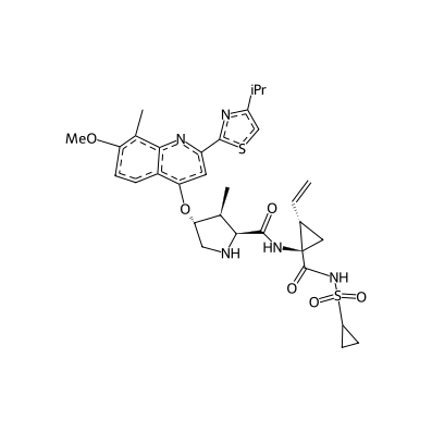 C=C[C@@H]1C[C@]1(NC(=O)[C@H]1NC[C@H](Oc2cc(-c3nc(C(C)C)cs3)nc3c(C)c(OC)ccc23)[C@H]1C)C(=O)NS(=O)(=O)C1CC1